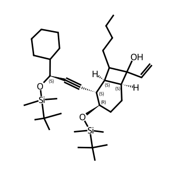 C=CC1(O)C(CCCC)[C@@H]2[C@@H](C#C[C@@H](O[Si](C)(C)C(C)(C)C)C3CCCCC3)[C@H](O[Si](C)(C)C(C)(C)C)CC[C@@H]21